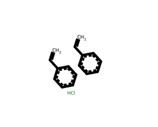 C=Cc1ccccc1.C=Cc1ccccc1.Cl